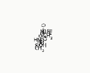 CSCC[C@H](NC(=O)c1ccc(CN(CCC2CCCCC2)S(=O)(=O)CCCC(F)(F)F)cc1-c1ccccc1C)C(=O)O